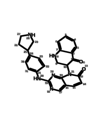 O=C1c2ccccc2NCC1n1c(=O)ccc2cnc(Nc3ccc(C4CCNC4)cc3)nc21